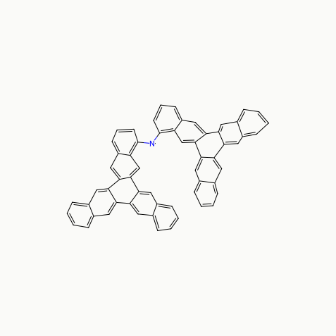 c1ccc2cc3c(cc2c1)c1cc2ccccc2cc1c1cc2c([N]c4cccc5cc6c7cc8ccccc8cc7c7cc8ccccc8cc7c6cc45)cccc2cc31